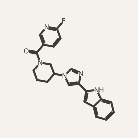 O=C(c1ccc(F)nc1)N1CCCC(n2cnc(-c3cc4ccccc4[nH]3)c2)C1